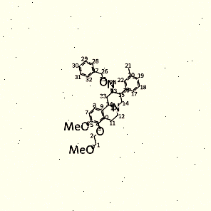 COCCOc1c(OC)ccc2c1CCN1CC(c3cccc(C)c3)C(=NOCc3ccccc3)CC21